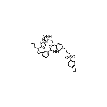 CCCC(Oc1cccc(C(=O)Nc2cc(CCCS(=O)(=O)c3ccc(Cl)cc3)ccc2OCc2nnn[nH]2)c1)c1nccs1